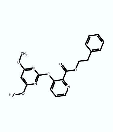 COc1cc(OC)nc(Oc2cccnc2C(=O)OCCc2ccccc2)n1